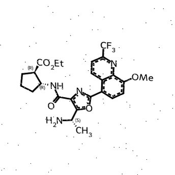 CCOC(=O)[C@@H]1CCC[C@H]1NC(=O)c1nc(-c2ccc(OC)c3nc(C(F)(F)F)ccc23)oc1[C@H](C)N